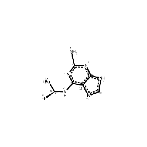 CC[C@H](Nc1nc(N)nc2[nH]cnc12)C(C)(C)C